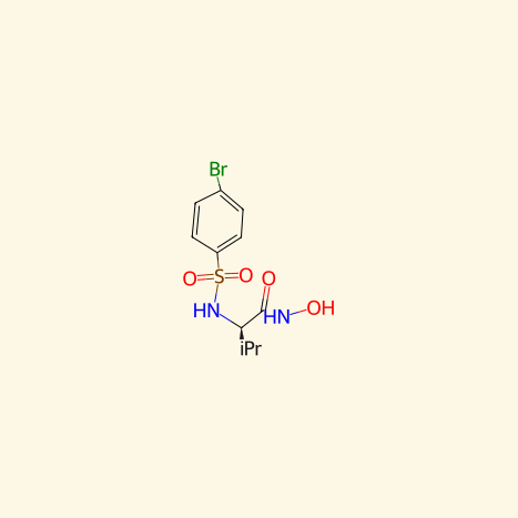 CC(C)[C@@H](NS(=O)(=O)c1ccc(Br)cc1)C(=O)NO